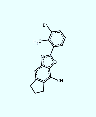 Cc1c(Br)cccc1-c1nc2cc3c(c(C#N)c2o1)CCC3